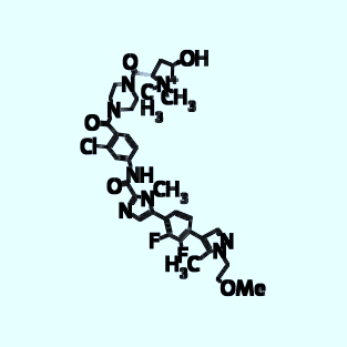 COCCn1ncc(-c2ccc(-c3cnc(C(=O)Nc4ccc(C(=O)N5CCN(C(=O)[C@@H]6C[C@@H](O)C[N+]6(C)C)CC5)c(Cl)c4)n3C)c(F)c2F)c1C